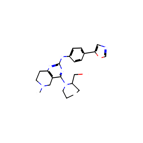 CC(=O)N1CCc2nc(Nc3ccc(-c4cnco4)cc3)nc(N3CCCCC3CO)c2C1